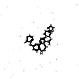 Cc1ccccc1Oc1ccc2c(c1)C(=O)N([C@@H](C(=O)N1CCC3(CC1)OCCO3)C(C)C)CCN2